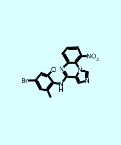 Cc1cc(Br)cc(Cl)c1Nc1nc2cccc([N+](=O)[O-])c2n2cncc12